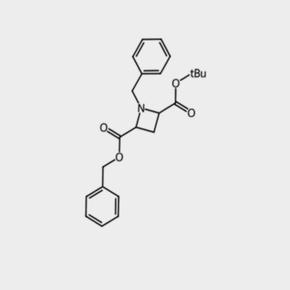 CC(C)(C)OC(=O)C1CC(C(=O)OCc2ccccc2)N1Cc1ccccc1